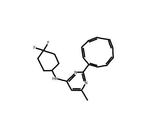 Cc1cc(NC2CCC(F)(F)CC2)nc(-c2ccccccccc2)n1